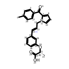 Cc1ccc(C(=O)c2cccn2C/C=C/c2cccc(O[C@H](C)C(=O)O)c2)cc1